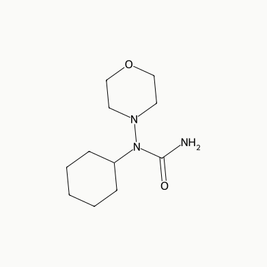 NC(=O)N(C1CCCCC1)N1CCOCC1